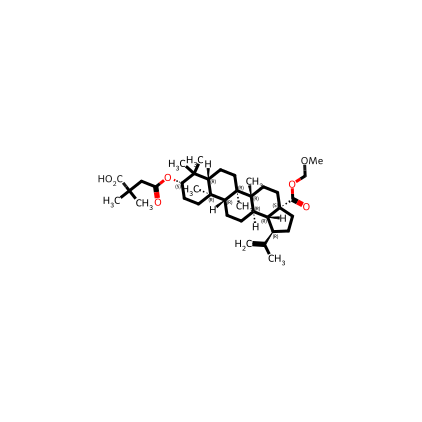 C=C(C)[C@@H]1CC[C@]2(C(=O)OCOC)CC[C@]3(C)[C@H](CC[C@@H]4[C@@]5(C)CC[C@H](OC(=O)CC(C)(C)C(=O)O)C(C)(C)[C@@H]5CC[C@]43C)[C@@H]12